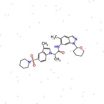 Cc1cc2cnn(C3CCCCO3)c2cc1NC(=O)C(C)n1cc(C)c2cc(S(=O)(=O)N3CCCCC3)ccc21